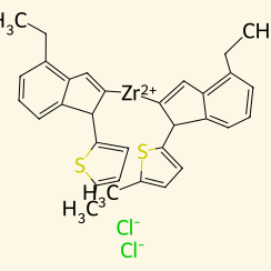 CCc1cccc2c1C=[C]([Zr+2][C]1=Cc3c(CC)cccc3C1c1ccc(C)s1)C2c1ccc(C)s1.[Cl-].[Cl-]